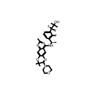 Cc1nc(N[C@H](C)c2cccc(C(F)(F)C(C)(C)O)c2F)c2cc3c(cc2n1)OC(C)(C)C(N1CCOCC1)=N3